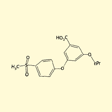 CCCOc1cc(Oc2ccc(S(C)(=O)=O)cc2)cc(C(=O)O)c1